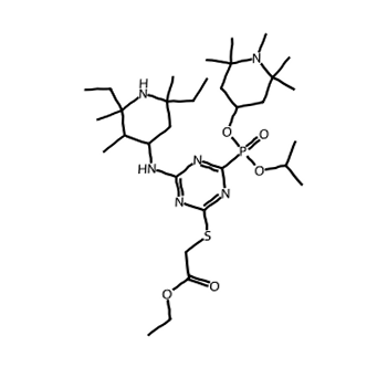 CCOC(=O)CSc1nc(NC2CC(C)(CC)NC(C)(CC)C2C)nc(P(=O)(OC(C)C)OC2CC(C)(C)N(C)C(C)(C)C2)n1